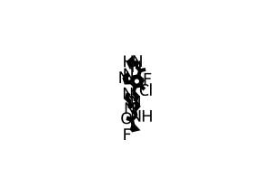 CC(c1c(F)c(Cl)c(-c2cn3cc(NC(=O)C4CC4F)nc3cn2)c2cn[nH]c12)n1cccn1